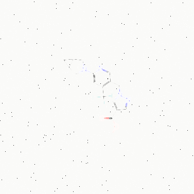 COC(=O)c1cnn(Cc2cnc(N3CC4CC4C3)cc2C(F)(F)F)c1